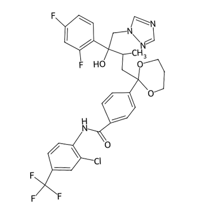 CC(CC1(c2ccc(C(=O)Nc3ccc(C(F)(F)F)cc3Cl)cc2)OCCCO1)C(O)(Cn1cncn1)c1ccc(F)cc1F